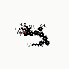 CCCCCCc1ccc(-n2c3ccccc3c3ccc(-c4ccc(N(c5ccc(C)cc5)c5ccc(-c6ccc7c(c6)C(CC(CC)CCCC)(CC(CC)CCCC)c6cc(C)ccc6-7)cc5)cc4)cc32)cc1